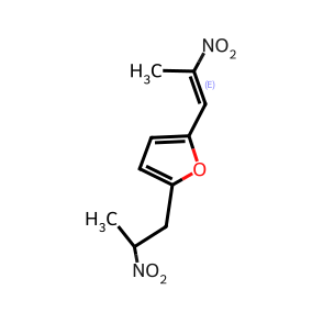 C/C(=C\c1ccc(CC(C)[N+](=O)[O-])o1)[N+](=O)[O-]